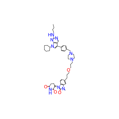 CCCCNc1ncc2c(-c3ccc(CN4CCN(CCCOCCCc5ccc6c(c5)n(C)c(=O)n6[C@H]5CCC(=O)NC5=O)CC4)cc3)cn(C3CCCCC3)c2n1